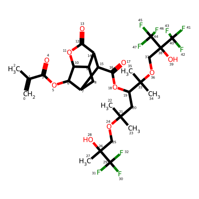 C=C(C)C(=O)OC1C2CC3C1OC(=O)C3C2C(=O)OC(CC(C)(C)OCC(C)(O)C(F)(F)F)C(C)(C)OCC(O)(C(F)(F)F)C(F)(F)F